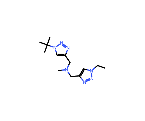 CCn1cc(CN(C)Cc2cn(C(C)(C)C)nn2)nn1